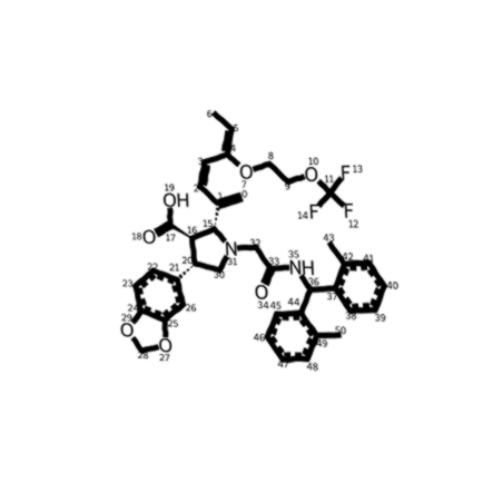 C=C(/C=C\C(=C/C)OCCOC(F)(F)F)[C@H]1[C@H](C(=O)O)[C@@H](c2ccc3c(c2)OCO3)CN1CC(=O)NC(c1ccccc1C)c1ccccc1C